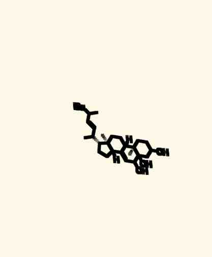 CCC(C)C(C)C=CC(C)[C@H]1CC[C@H]2C3=CC(O)C4(O)CC(O)CC[C@]4(C)[C@H]3CC[C@]12C